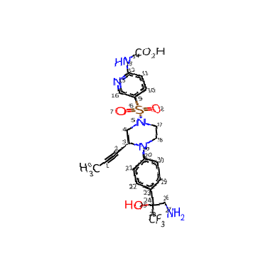 CC#C[C@H]1CN(S(=O)(=O)c2ccc(NC(=O)O)nc2)CCN1c1ccc(C(O)(CN)C(F)(F)F)cc1